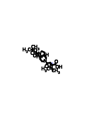 C=C(/C=C(/C(=O)O)N(C)C)N1CC[C@H]2[C@H](CCN2C(=O)OC(C)(C)C)C1